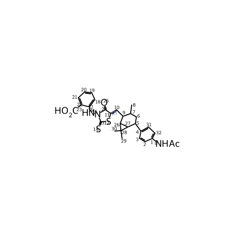 CC(=O)Nc1ccc(C2CC(C)C(/C=C3\SC(=S)N(Nc4ccccc4C(=O)O)C3=O)C3C2C3(C)C)cc1